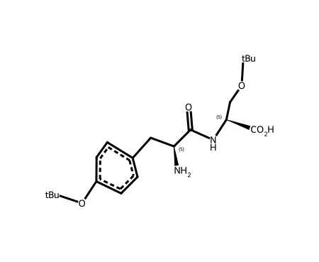 CC(C)(C)OC[C@H](NC(=O)[C@@H](N)Cc1ccc(OC(C)(C)C)cc1)C(=O)O